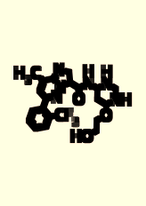 CC1=CC(c2ccccc2C(F)(F)F)=NN2C1=NCC2C(=O)NC1CC(OCCO)NCN1